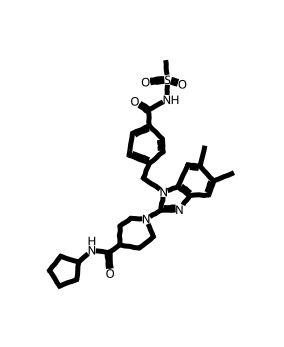 Cc1cc2nc(N3CCC(C(=O)NC4CCCC4)CC3)n(Cc3ccc(C(=O)NS(C)(=O)=O)cc3)c2cc1C